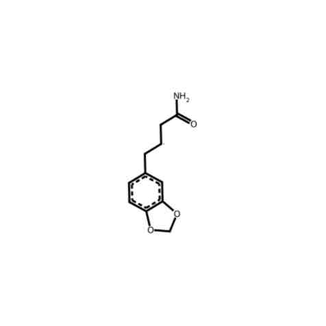 NC(=O)C[CH]Cc1ccc2c(c1)OCO2